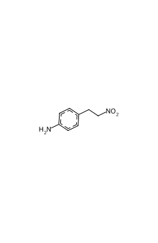 Nc1ccc(CC[N+](=O)[O-])cc1